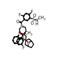 CNS(=O)(=O)c1cc(C(=O)N2CCC(CCN3C4CCC3CC(n3c(C)nc5ccccc53)C4)(c3cccc(F)c3)CC2)c(F)cc1F